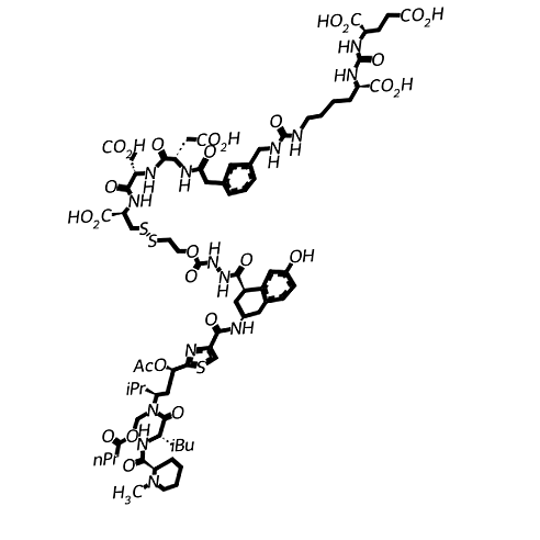 CCCC(=O)OCN(C(=O)[C@@H](NC(=O)[C@H]1CCCCN1C)C(C)CC)[C@H](C[C@@H](OC(C)=O)c1nc(C(=O)N[C@H]2Cc3ccc(O)cc3[C@H](C(=O)NNC(=O)OCCSSC[C@H](NC(=O)[C@H](CC(=O)O)NC(=O)[C@H](CC(=O)O)NC(=O)Cc3cccc(CNC(=O)NCCCC[C@@H](NC(=O)N[C@H](CCC(=O)O)C(=O)O)C(=O)O)c3)C(=O)O)C2)cs1)C(C)C